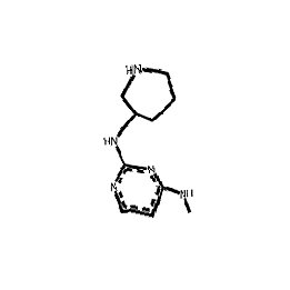 CNc1ccnc(NC2CCCNC2)n1